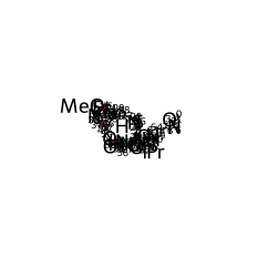 C=CC(=O)N(C)CCC1CCN(C(=O)N(C)C(C(=O)N[C@H]2Cc3nc(cs3)-c3ccc4c(c3)c(c(-c3cccnc3[C@H](C)OC)n4CC)CC(C)(C)COC(=O)[C@@H]3CCCN(N3)C2=O)C(C)C)CC1